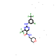 O=C(NCC1CCOCC1)c1cnc(Nc2cc(F)cc(C(F)(F)F)c2)nc1C(F)(F)F